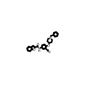 N#Cc1cc(NC(=O)c2cc3ccccc3o2)ccc1OC1CCN(Cc2ccccc2)CC1